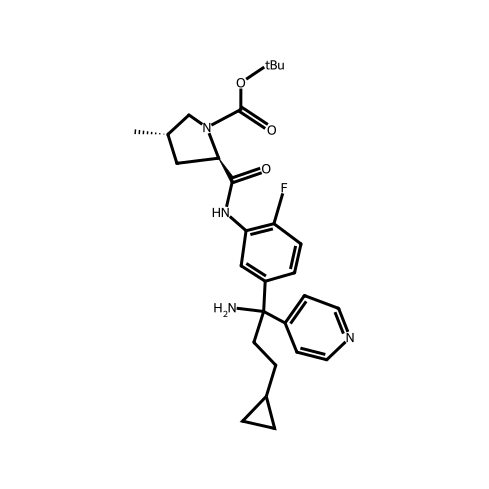 C[C@H]1C[C@H](C(=O)Nc2cc(C(N)(CCC3CC3)c3ccncc3)ccc2F)N(C(=O)OC(C)(C)C)C1